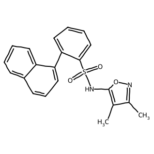 Cc1noc(NS(=O)(=O)c2ccccc2-c2cccc3ccccc23)c1C